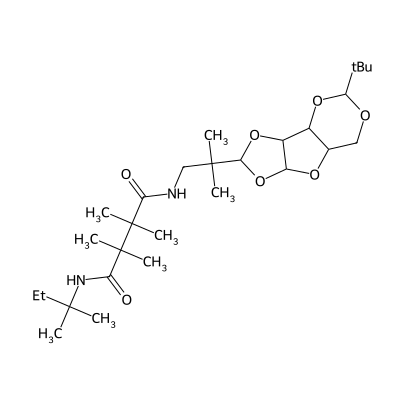 CCC(C)(C)NC(=O)C(C)(C)C(C)(C)C(=O)NCC(C)(C)C1OC2OC3COC(C(C)(C)C)OC3C2O1